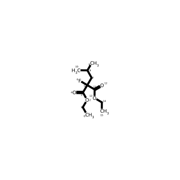 CCOC(=O)C(F)(CC(C)C)C(=O)OCC